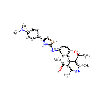 COC(=O)C1=C(C)NC(C)=C(C(=O)OC)C1c1cccc(Nc2nc(-c3ccc(N(C)C)cc3)cs2)c1